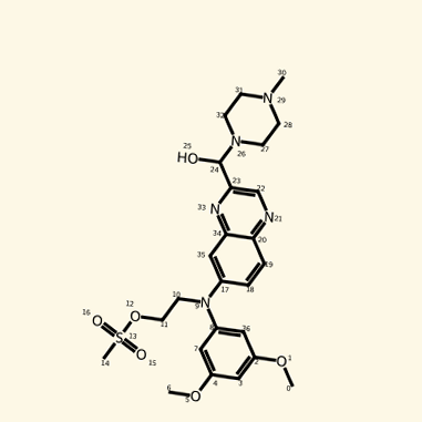 COc1cc(OC)cc(N(CCOS(C)(=O)=O)c2ccc3ncc(C(O)N4CCN(C)CC4)nc3c2)c1